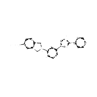 O=C(O)c1ccc2c(c1)CN(c1cccc(-c3csc(-c4ccccc4)n3)c1)C2